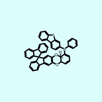 C1=CC2Oc3cc4c(cc3O[C@@H]2C(N(c2ccccc2)c2ccc3c(c2)sc2ccccc23)=C1)C1(c2ccccc2-c2ccccc21)c1ccccc1-4